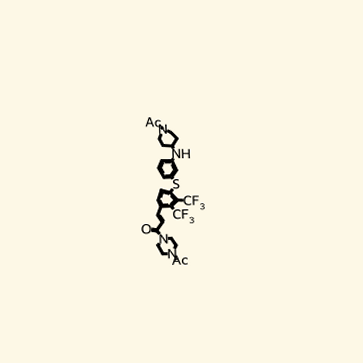 CC(=O)N1CCC(Nc2cccc(Sc3ccc(/C=C/C(=O)N4CCN(C(C)=O)CC4)c(C(F)(F)F)c3C(F)(F)F)c2)CC1